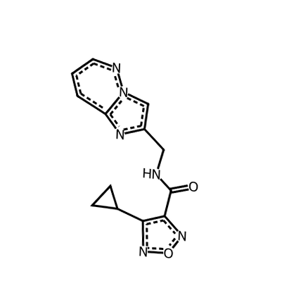 O=C(NCc1cn2ncccc2n1)c1nonc1C1CC1